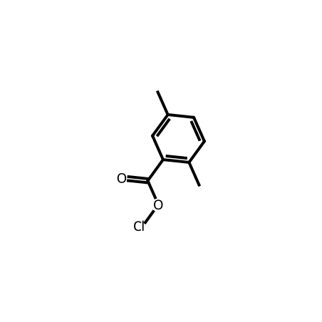 Cc1ccc(C)c(C(=O)OCl)c1